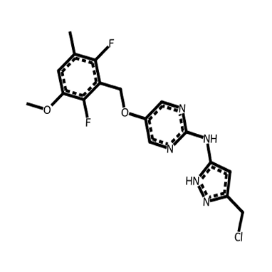 COc1cc(C)c(F)c(COc2cnc(Nc3cc(CCl)n[nH]3)nc2)c1F